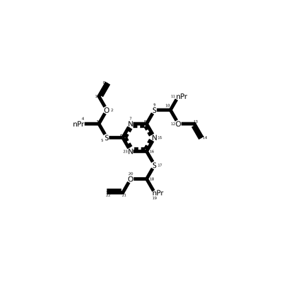 C=COC(CCC)Sc1nc(SC(CCC)OC=C)nc(SC(CCC)OC=C)n1